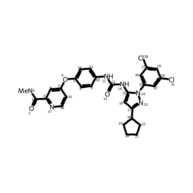 CNC(=O)c1cc(Oc2ccc(NC(=O)Nc3cc(C4CCCC4)nn3-c3cc(Cl)cc(Cl)c3)cc2)ccn1